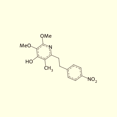 COc1nc(CCc2ccc([N+](=O)[O-])cc2)c(C)c(O)c1OC